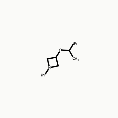 CC(C)C(C)OC1CN(C(C)C)C1